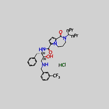 CCCC(CCC)N1CCCn2c(C(=O)N[C@@H](Cc3ccccc3)[C@@H](O)CNCc3cccc(C(F)(F)F)c3)ccc2C1=O.Cl